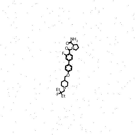 CCC(F)(CC)CN1CCC(COc2ccc(-c3ccc(C(=O)N4CCCC4C(N)=O)c(F)c3)cc2)CC1